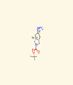 CC(C)(C)OC(=O)N1CC2C[C@H](N)C[C@@H]2C1